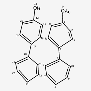 CC(=O)Oc1ccc(-c2ccccc2)cc1.Oc1ccc(-c2ccccc2)cc1